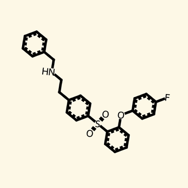 O=S(=O)(c1ccc(CCNCc2ccccc2)cc1)c1ccccc1Oc1ccc(F)cc1